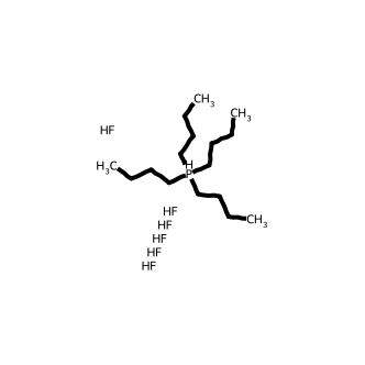 CCCC[PH](CCCC)(CCCC)CCCC.F.F.F.F.F.F